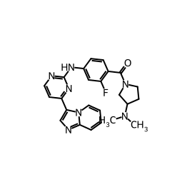 CN(C)C1CCN(C(=O)c2ccc(Nc3nccc(-c4cnc5ccccn45)n3)cc2F)C1